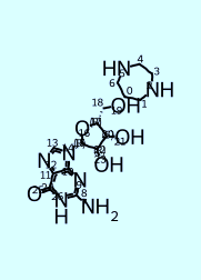 C1CNCCNC1.Nc1nc2c(ncn2[C@@H]2O[C@H](CO)[C@@H](O)[C@H]2O)c(=O)[nH]1